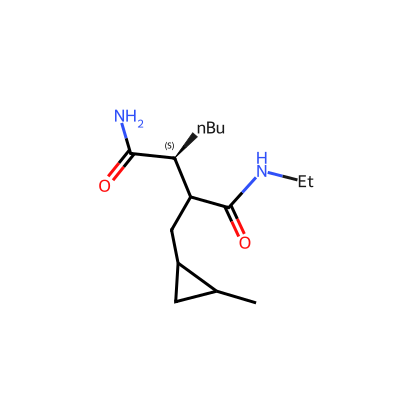 CCCC[C@H](C(N)=O)C(CC1CC1C)C(=O)NCC